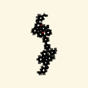 C=Cc1ccc(Oc2ccc(C3(c4c(F)cc(F)cc4F)c4ccccc4-c4ccc(N(c5ccc(-c6ccc(N(c7cccc(F)c7)c7ccc8c(c7)C(c7ccc(Oc9ccc(C=C)cc9)cc7)(c7c(F)cc(F)cc7F)c7ccccc7-8)cc6)cc5)c5cccc(F)c5)cc43)cc2)cc1